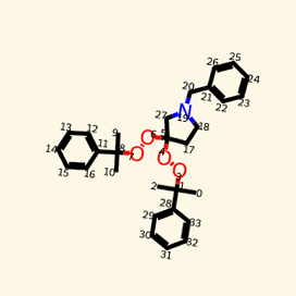 CC(C)(OOC1(OOC(C)(C)c2ccccc2)CCN(Cc2ccccc2)C1)c1ccccc1